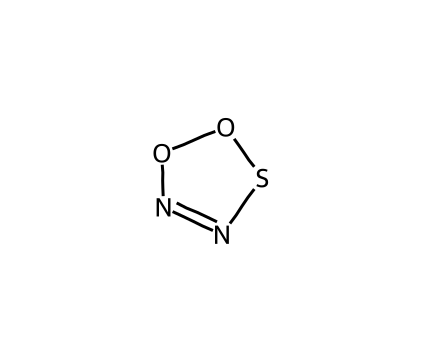 N1=NSOO1